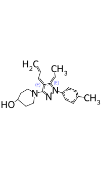 C=C/C=c1/c(N2CCC(O)CC2)nn(-c2ccc(C)cc2)/c1=C/C